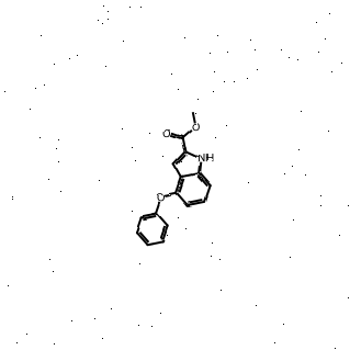 COC(=O)c1cc2c(Oc3ccccc3)cccc2[nH]1